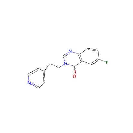 O=c1c2cc(F)ccc2ncn1CCc1ccncc1